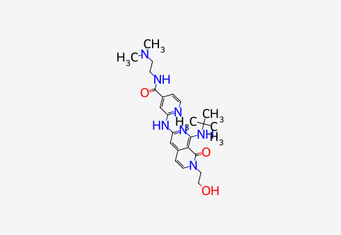 CN(C)CCNC(=O)c1ccnc(Nc2cc3ccn(CCO)c(=O)c3c(NC(C)(C)C)n2)c1